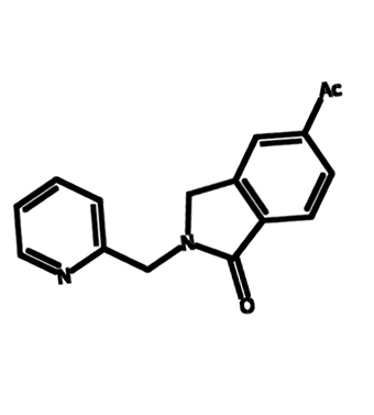 CC(=O)c1ccc2c(c1)CN(Cc1ccccn1)C2=O